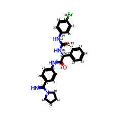 N=C(c1ccc(NC(=O)[C@@H](NC(=S)Nc2ccc(Br)cc2)c2ccccc2)cc1)N1CCCC1